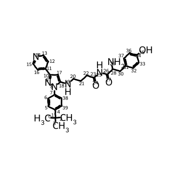 CC(C)(C)c1ccc(-n2nc(-c3ccncc3)cc2NCCCC(=O)NC(=O)C(N)Cc2ccc(O)cc2)cc1